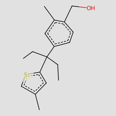 CCC(CC)(c1ccc(CO)c(C)c1)c1cc(C)cs1